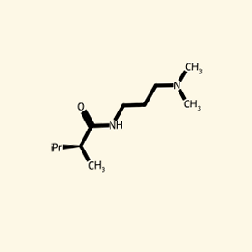 CC(C)[C@H](C)C(=O)NCCCN(C)C